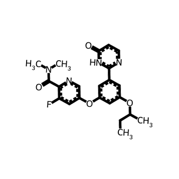 CCC(C)Oc1cc(Oc2cnc(C(=O)N(C)C)c(F)c2)cc(-c2nccc(=O)[nH]2)c1